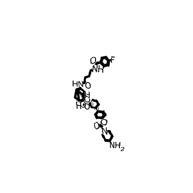 NC1CCN(C(=O)Oc2ccc([C@@H]3CCC[C@]4(C3)OOC3(O4)[C@@H]4CC5C[C@H]3CC(NC(=O)CCCNC(=O)c3ccc(F)cc3)(C5)C4)cc2)CC1